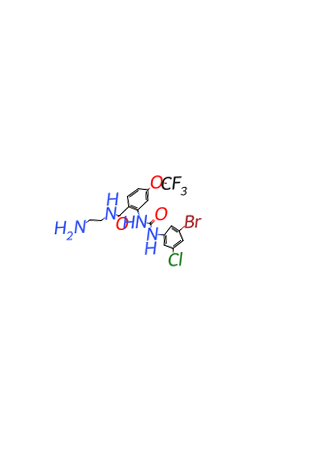 NCCNC(=O)c1ccc(OC(F)(F)F)cc1NC(=O)Nc1cc(Cl)cc(Br)c1